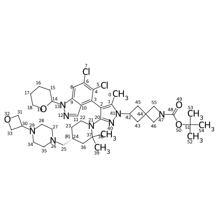 Cc1c(-c2c(Cl)c(Cl)cc3c2cnn3C2CCCCO2)c(N2CC[C@@H](CN3CCN(C4COC4)CC3)CC2(C)C)nn1C1CC2(C1)CN(C(=O)OC(C)(C)C)C2